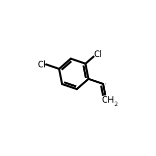 C=[C]c1ccc(Cl)cc1Cl